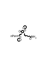 CCCCC[C@@H](/C=C/[C@H]1C(=O)C[C@H](OC2CCCCO2)[C@@H]1C/C=C\CCCC(N)=O)OC1CCCCO1